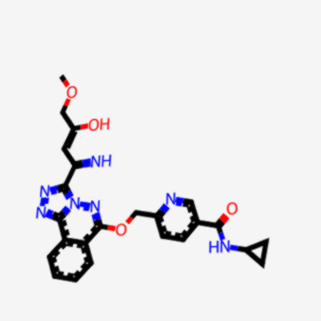 COC/C(O)=C/C(=N)c1nnc2c3ccccc3c(OCc3ccc(C(=O)NC4CC4)cn3)nn12